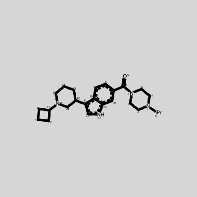 CC(C)N1CCN(C(=O)c2ccc3c(C4CCCN(C5CCC5)C4)c[nH]c3c2)CC1